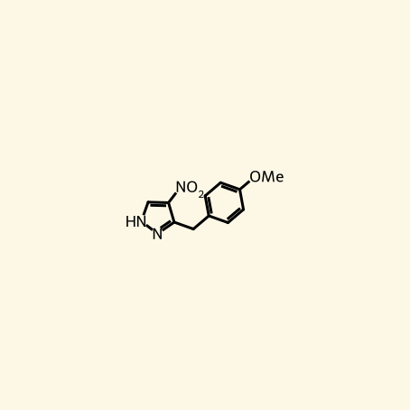 COc1ccc(Cc2n[nH]cc2[N+](=O)[O-])cc1